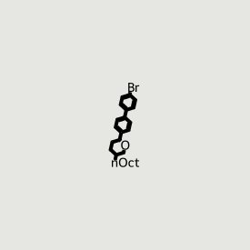 CCCCCCCCC1CCC(c2ccc(-c3ccc(Br)cc3)cc2)OC1